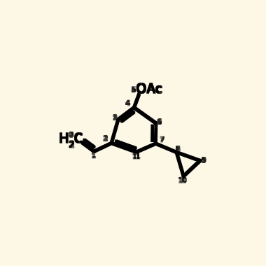 C=Cc1cc(OC(C)=O)cc(C2CC2)c1